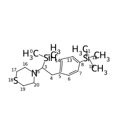 C[SiH](C)C(Cc1ccc([Si](C)(C)C)cc1)N1CCSCC1